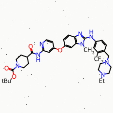 CCN1CCN(Cc2ccc(Nc3nc4ccc(Oc5ccnc(NC(=O)C6CCN(C(=O)OC(C)(C)C)CC6)c5)cc4n3C)cc2C(F)(F)F)CC1